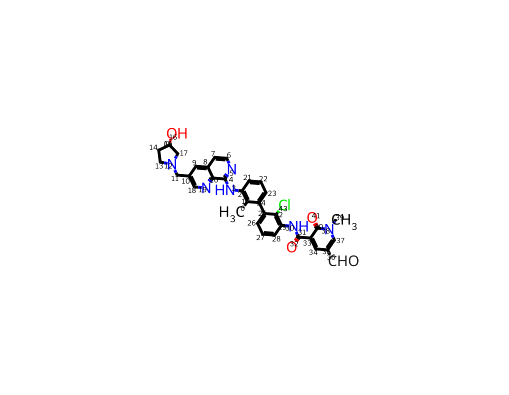 Cc1c(Nc2nccc3cc(CN4CC[C@@H](O)C4)cnc23)cccc1-c1cccc(NC(=O)c2cc(C=O)cn(C)c2=O)c1Cl